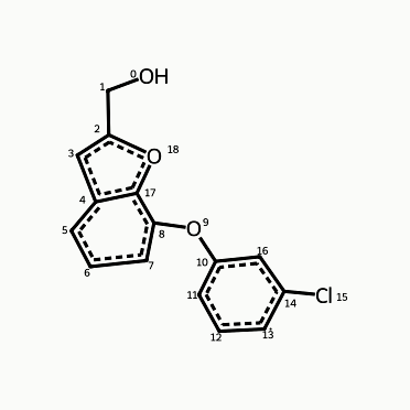 OCc1cc2cccc(Oc3cc[c]c(Cl)c3)c2o1